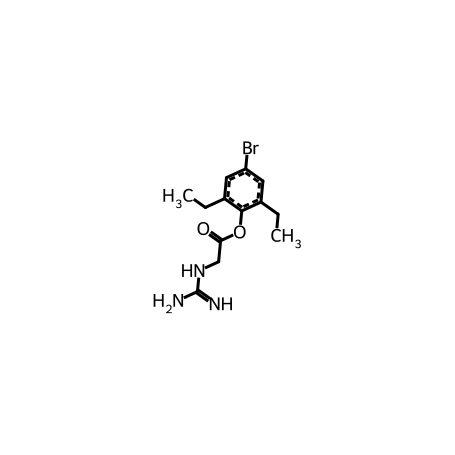 CCc1cc(Br)cc(CC)c1OC(=O)CNC(=N)N